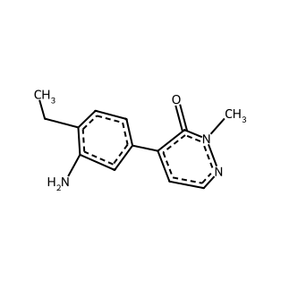 CCc1ccc(-c2ccnn(C)c2=O)cc1N